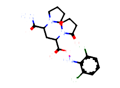 NC(=O)C(CC(C(=O)ONc1c(Cl)cccc1Cl)N1CCCC1=O)N1CCCC1